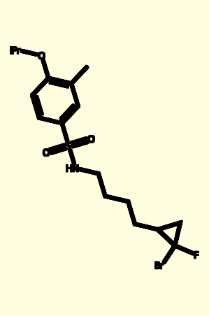 Cc1cc(S(=O)(=O)NCCCCC2CC2(F)Br)ccc1OC(C)C